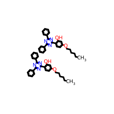 CCCCCCOc1ccc(-c2nc(-c3ccccc3)nc(-c3ccccc3)n2)c(O)c1.CCCCCCOc1ccc(-c2nc(-c3ccccc3)nc(-c3ccccc3)n2)c(O)c1